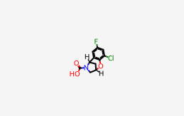 O=C(O)N1C[C@@H]2C[C@H]1c1cc(F)cc(Cl)c1O2